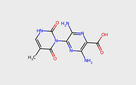 Cc1c[nH]c(=O)n(-c2nc(N)c(C(=O)O)nc2N)c1=O